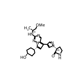 COC[C@H](C)Nc1ncc2c(-c3cnn([C@@H]4CCNC4=O)c3)cc([C@H]3CC[C@H](O)CC3)n2n1